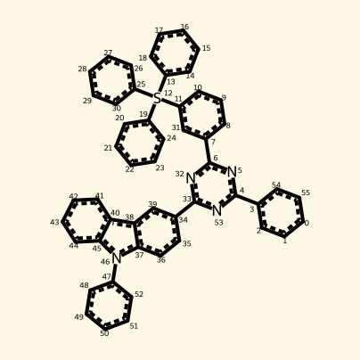 c1ccc(-c2nc(-c3cccc(S(c4ccccc4)(c4ccccc4)c4ccccc4)c3)nc(-c3ccc4c(c3)c3ccccc3n4-c3ccccc3)n2)cc1